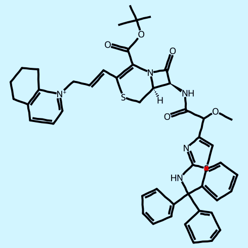 COC(C(=O)N[C@@H]1C(=O)N2C(C(=O)OC(C)(C)C)=C(/C=C/C[n+]3cccc4c3CCCC4)SC[C@H]12)c1csc(NC(c2ccccc2)(c2ccccc2)c2ccccc2)n1